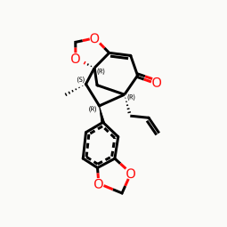 C=CC[C@]12C[C@@]3(OCOC3=CC1=O)[C@@H](C)[C@@H]2c1ccc2c(c1)OCO2